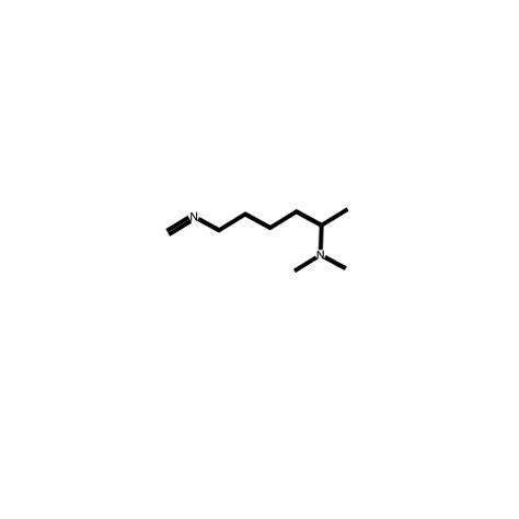 C=NCCCCC(C)N(C)C